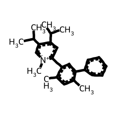 Cc1cc(C)c(-c2cc(C(C)C)c(C(C)C)c[n+]2C)cc1-c1ccccc1